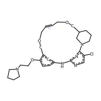 Clc1cnc2nc1N1CCCC(COC/C=C/COCc3cc(ccc3OCCN3CCCC3)N2)C1